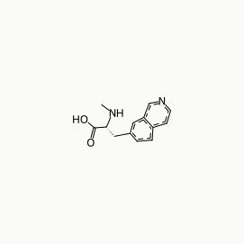 CN[C@H](Cc1ccc2ccncc2c1)C(=O)O